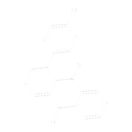 O=C1c2ccccc2C(=S)c2c1cccc2-c1ccc(Cl)cc1